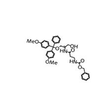 COc1ccc(C(OC[C@@H](CO)NC(=O)CCNC(=O)OCc2ccccc2)(c2ccccc2)c2ccc(OC)cc2)cc1